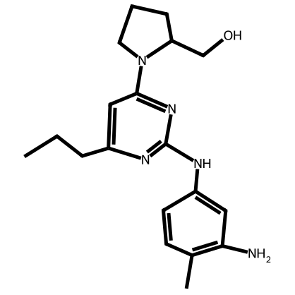 CCCc1cc(N2CCCC2CO)nc(Nc2ccc(C)c(N)c2)n1